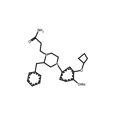 COc1ccc(N2CCN(CCC(N)=O)C(Cc3ccccc3)C2)cc1OC1CCC1